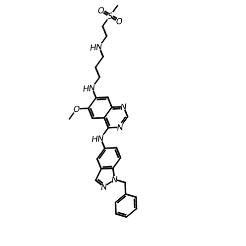 COc1cc2c(Nc3ccc4c(cnn4Cc4ccccc4)c3)ncnc2cc1NCCCNCCS(C)(=O)=O